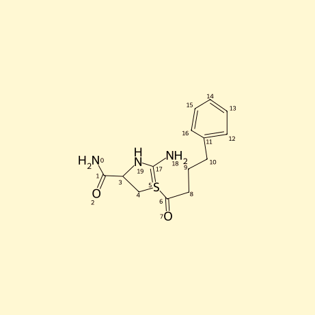 NC(=O)C1CS(C(=O)CCCc2ccccc2)=C(N)N1